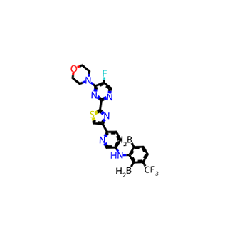 Bc1ccc(C(F)(F)F)c(B)c1Nc1ccc(-c2csc(-c3ncc(F)c(N4CCOCC4)n3)n2)nc1